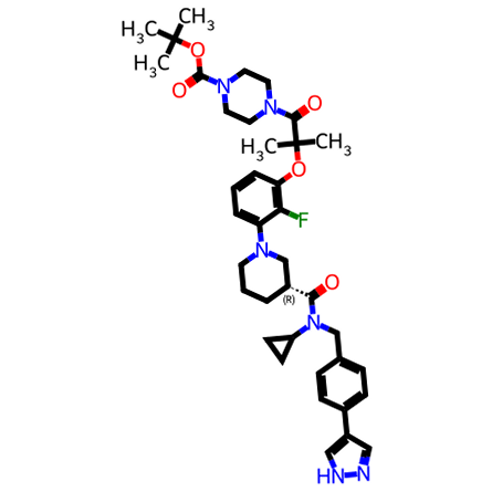 CC(C)(C)OC(=O)N1CCN(C(=O)C(C)(C)Oc2cccc(N3CCC[C@@H](C(=O)N(Cc4ccc(-c5cn[nH]c5)cc4)C4CC4)C3)c2F)CC1